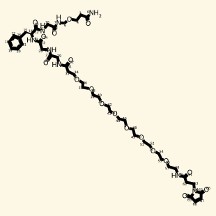 NC(=O)CCOCNC(=O)CNC(=O)[C@H](Cc1ccccc1)NC(=O)CNC(=O)CNC(=O)CCOCCOCCOCCOCCOCCOCCOCCOCCNC(=O)CCN1C(=O)C=CC1=O